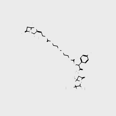 CC1N2C(=O)[C@@H](NC(=O)C(NC(=O)OCCSSCCOC(=O)OC/C=C3/O[C@@H]4CC(=O)N4[C@H]3C)c3ccc(O)cc3)[C@H]2SC1(C)C